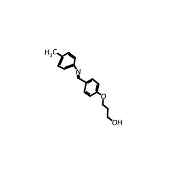 Cc1ccc(N=Cc2ccc(OCCCO)cc2)cc1